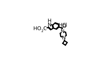 Cl.O=C(O)c1cc2cc(C(=O)N3CCN(C4CCC4)CC3)ccc2[nH]1